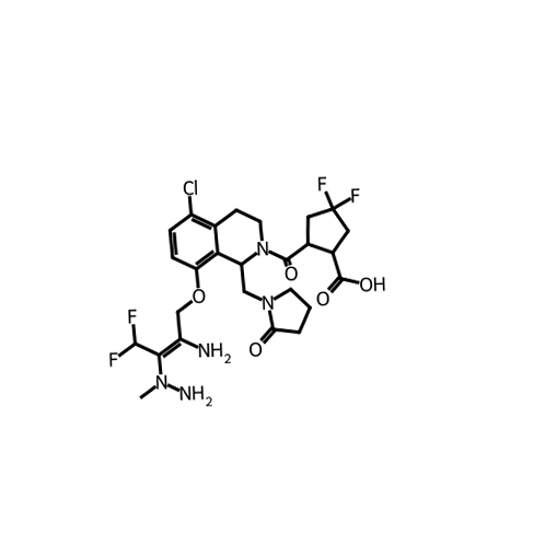 CN(N)/C(=C(\N)COc1ccc(Cl)c2c1C(CN1CCCC1=O)N(C(=O)C1CC(F)(F)CC1C(=O)O)CC2)C(F)F